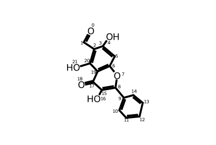 O=Cc1c(O)cc2oc(-c3ccccc3)c(O)c(=O)c2c1O